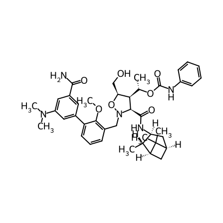 COc1c(CN2O[C@@H](CO)[C@@H]([C@H](C)OC(=O)Nc3ccccc3)[C@H]2C(=O)N[C@H]2C[C@H]3C[C@@H]([C@@H]2C)C3(C)C)cccc1-c1cc(C(N)=O)cc(N(C)C)c1